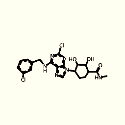 CNC(=O)C1CCC(n2cnc3c(NCc4cccc(Cl)c4)nc(Cl)nc32)C(O)C1O